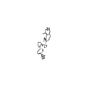 Cc1cncc2ccc(C(=O)N3CCC[C@H]3c3ccc(Br)cc3)nc12